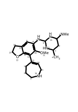 CNC1CC(C)NC(Nc2cc3c(c(C4=CCNCCC4)c2OC)OCC3)N1